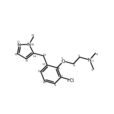 CN(C)CCOc1c(Cl)cccc1Cc1ccnn1C